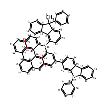 CC1(c2ccccc2)c2ccccc2-c2c(N(c3cccc(-c4ccc5c6ccccc6n(-c6ccccc6)c5c4)c3)c3ccccc3-c3cccc4cccc(-c5ccccc5)c34)cccc21